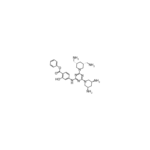 NC[C@@H]1C[C@H](CN)CN(c2nc(Nc3ccc(C(=O)Oc4ccccc4)c(O)c3)nc(N3C[C@H](N)C[C@H](N)C3)n2)C1